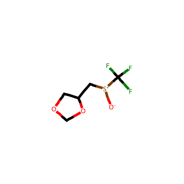 [O-][S+](CC1COCO1)C(F)(F)F